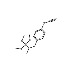 CO[Si](OC)(OC)C(C)Cc1ccc(OC#N)cc1